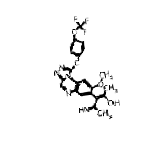 COc1cc2c(cc1/C(C(C)=N)=C(\C)O)ncc1nnc(Cc3ccc(OC(F)(F)F)cc3)n12